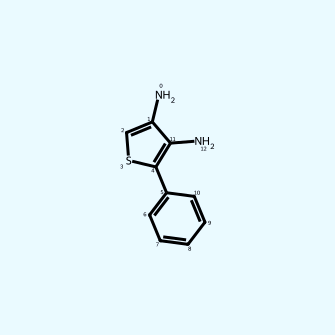 Nc1csc(-c2ccccc2)c1N